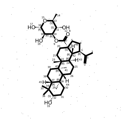 C=C(C)[C@@H]1CC[C@]2(C(=O)O[C@@H]3[C@@H](O)[C@H](C)O[C@@H](O)[C@@H]3O)CC[C@]3(C)[C@H](CC[C@@H]4[C@@]5(C)CC[C@H](O)C(C)(C)[C@@H]5CC[C@]43C)[C@@H]12